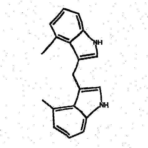 Cc1cccc2[nH]cc(Cc3c[nH]c4cccc(C)c34)c12